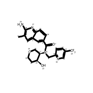 Cc1cc2cc(C(=O)N(Cc3ccc(C(F)(F)F)cn3)[C@@H]3COCC[C@@H]3O)ccc2nc1N